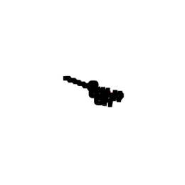 CCCCCCCCCCCOC(=O)CCCN(CCO)CCCCN1CCC1